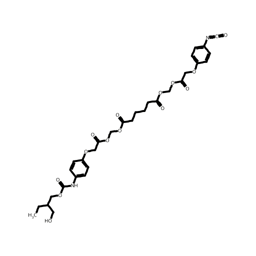 CCC(CO)COC(=O)Nc1ccc(OCC(=O)OCOC(=O)CCCCC(=O)OCOC(=O)COc2ccc(N=C=O)cc2)cc1